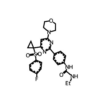 CCNC(=O)Nc1ccc(-c2nc(N3CCOCC3)cc(C3(S(=O)(=O)c4ccc(F)cc4)CC3)n2)cc1